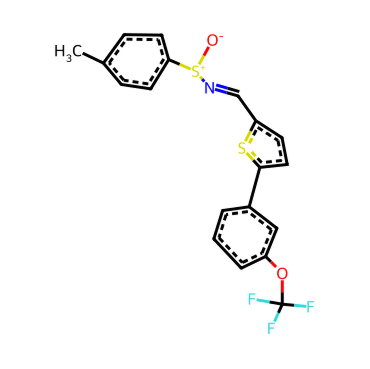 Cc1ccc([S+]([O-])N=Cc2ccc(-c3cccc(OC(F)(F)F)c3)s2)cc1